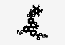 CC(C)(C)OC(=O)N1CCC(c2cc(C(F)(F)F)ccc2C2CC(C)(C)Oc3cc(S(=O)(=O)Oc4c(F)c(F)c(F)c(F)c4F)ccc32)CC1